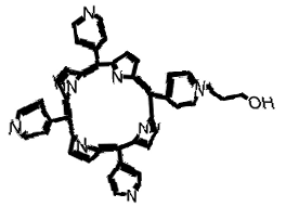 OCCC[n+]1ccc(-c2c3nc(c(-c4ccncc4)c4ccc([nH]4)c(-c4ccncc4)c4nc(c(-c5ccncc5)c5ccc2[nH]5)C=C4)C=C3)cc1